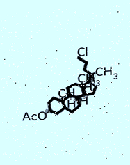 CC(=O)O[C@@H]1CC[C@@]2(C)C(CC[C@H]3[C@@H]4CC[C@H]([C@H](C)CCCCl)[C@@]4(C)CC[C@@H]32)C1